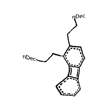 CCCCCCCCCCCCc1ccc2c(c1CCCCCCCCCCCC)=c1ccccc1=2